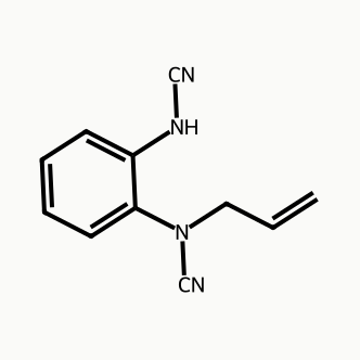 C=CCN(C#N)c1ccccc1NC#N